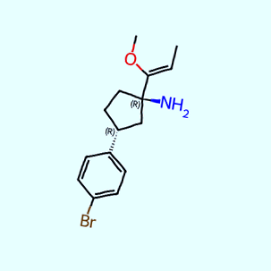 CC=C(OC)[C@@]1(N)CC[C@@H](c2ccc(Br)cc2)C1